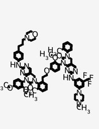 COc1ccc(N2C(=O)N(c3c(C)cccc3CCOc3ccc(N4C(=O)N(c5ccccc5C)Cc5cnc(Nc6cc(N7CCN(C)CC7)cc(C(F)(F)F)c6)nc54)c(OC)c3)Cc3cnc(Nc4ccc(CCCN5CCOCC5)cc4)nc32)c(OC)c1